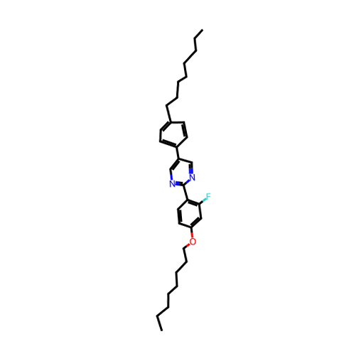 CCCCCCCCOc1ccc(-c2ncc(-c3ccc(CCCCCCCC)cc3)cn2)c(F)c1